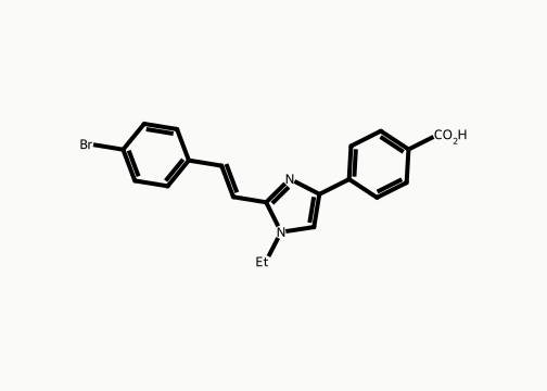 CCn1cc(-c2ccc(C(=O)O)cc2)nc1C=Cc1ccc(Br)cc1